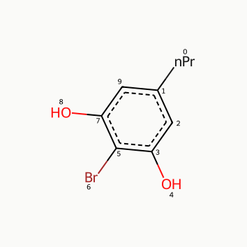 CCCc1cc(O)c(Br)c(O)c1